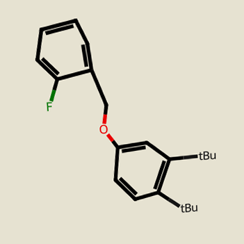 CC(C)(C)c1ccc(OCc2ccccc2F)cc1C(C)(C)C